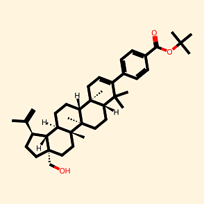 C=C(C)[C@@H]1CC[C@]2(CO)CC[C@]3(C)[C@H](CC[C@@H]4[C@@]5(C)CC=C(c6ccc(C(=O)OC(C)(C)C)cc6)C(C)(C)[C@@H]5CC[C@]43C)[C@@H]12